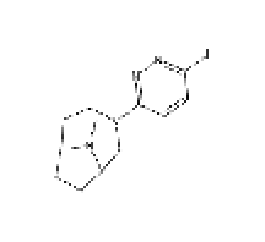 CN1C2CCC1CN(c1ccc(I)nn1)CC2